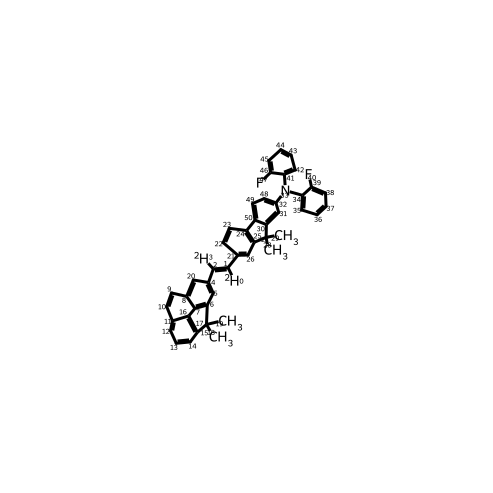 [2H]/C(=C(/[2H])c1cc2c3c(ccc4cccc(c43)C2(C)C)c1)c1ccc2c(c1)C(C)(C)c1cc(N(c3ccccc3F)c3ccccc3F)ccc1-2